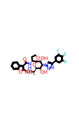 Cc1oc2ccccc2c1C(=O)N[C@@H]1CCO[C@]12O[C@H](CO)[C@H](O)[C@H](n1cc(-c3cc(F)c(F)c(F)c3)nn1)[C@H]2O